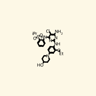 CCOc1cc(N2CCC(O)CC2)ccc1Nc1nc(N)c(Cl)c(Nc2ccccc2S(=O)(=O)C(C)C)n1